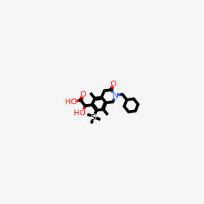 Cc1c2c(c(C)c([Si](C)(C)C)c1C(O)C(=O)O)CN(CC1CCCCC1)C(=O)C2